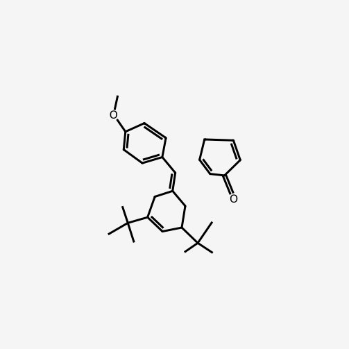 COc1ccc(C=C2CC(C(C)(C)C)=CC(C(C)(C)C)C2)cc1.O=C1C=CCC=C1